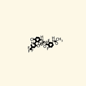 CC(=O)Nc1ccc(F)c(C(=O)NC(=O)Nc2ccc(Cl)c(-c3ncc(C(F)(F)F)cc3Cl)c2O)c1F